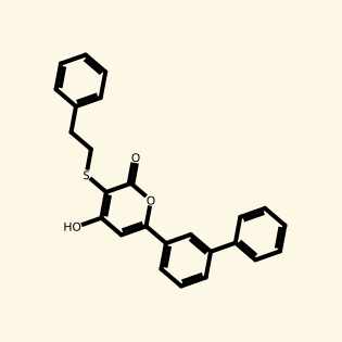 O=c1oc(-c2cccc(-c3ccccc3)c2)cc(O)c1SCCc1ccccc1